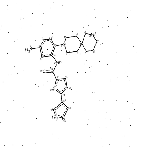 Nc1cnc(N2CCC3(CCCNC3)CC2)c(NC(=O)c2csc(-c3cn[nH]c3)n2)c1